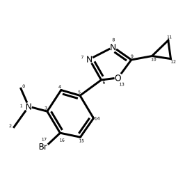 CN(C)c1cc(-c2nnc(C3CC3)o2)ccc1Br